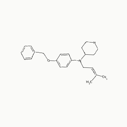 CC(C)=CCN(c1ccc(OCc2ccccc2)cc1)C1CC[N]CC1